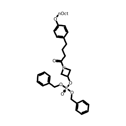 CCCCCCCCOc1ccc(CCCC(=O)N2CC(OP(=O)(OCc3ccccc3)OCc3ccccc3)C2)cc1